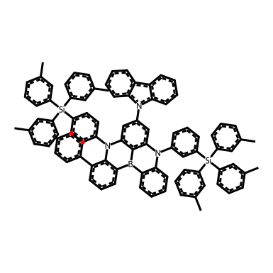 Cc1cccc([Si](c2ccc(N3c4cc(-n5c6ccccc6c6ccccc65)cc5c4B(c4ccccc4N5c4cccc([Si](c5cccc(C)c5)(c5cccc(C)c5)c5cccc(C)c5)c4)c4cccc(-c5ccccc5)c43)cc2)(c2cccc(C)c2)c2cccc(C)c2)c1